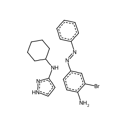 Nc1ccc(N=Nc2ccccc2)cc1Br.c1cc(NC2CCCCC2)n[nH]1